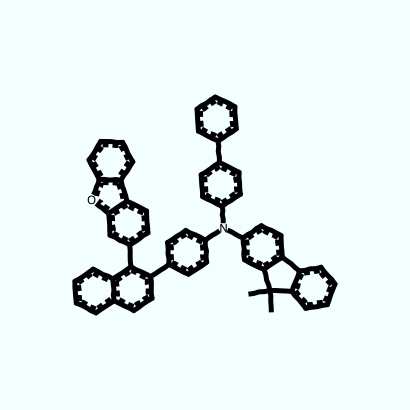 CC1(C)c2ccccc2-c2ccc(N(c3ccc(-c4ccccc4)cc3)c3ccc(-c4ccc5ccccc5c4-c4ccc5c(c4)oc4ccccc45)cc3)cc21